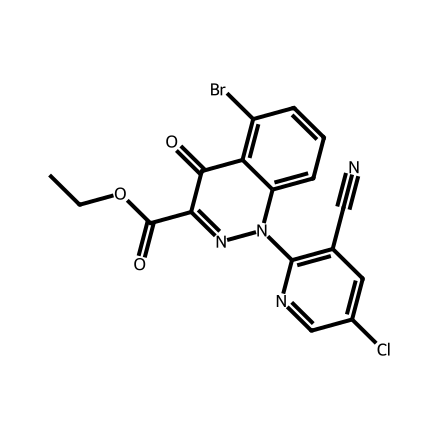 CCOC(=O)c1nn(-c2ncc(Cl)cc2C#N)c2cccc(Br)c2c1=O